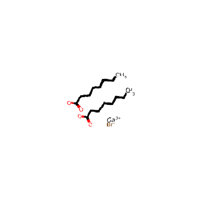 CCCCCCCC(=O)[O-].CCCCCCCC(=O)[O-].[Br-].[Ga+3]